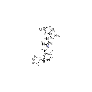 C=N/C(=C\N(C)c1nc(NC2CCOCC2)ncc1C)C(=O)NC(CN(C)C)c1cccc(Cl)c1